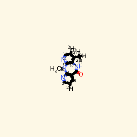 [2H]c1cnc2c(c1)C(=O)Nc1c(ncc([2H])c1C([2H])([2H])[2H])N2C